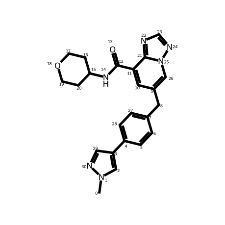 Cn1cc(-c2ccc(Cc3cc(C(=O)NC4CCOCC4)c4ncnn4c3)cc2)cn1